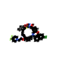 C[C@@H]1[C@@H](C)C/C=C/[C@H](OCCN2CCC(F)(F)CC2)[C@@H]2CC[C@H]2CN2C[C@@]3(CCCc4cc(Cl)ccc43)COc3ccc(cc32)C(=O)NS1(=O)=O